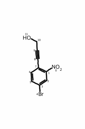 O=[N+]([O-])c1cc(Br)ccc1C#CCO